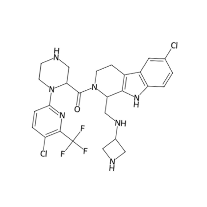 O=C(C1CNCCN1c1ccc(Cl)c(C(F)(F)F)n1)N1CCc2c([nH]c3ccc(Cl)cc23)C1CNC1CNC1